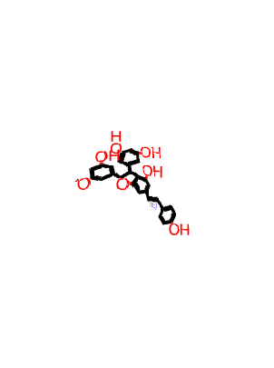 COc1cc(O)cc(C2Oc3cc(/C=C/c4ccc(O)cc4)cc(O)c3C2c2cc(O)cc(O)c2)c1